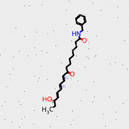 CC[C@H](O)C=C/C=C/C=C/C(=O)CCCCCCCC(=O)NCc1ccccc1